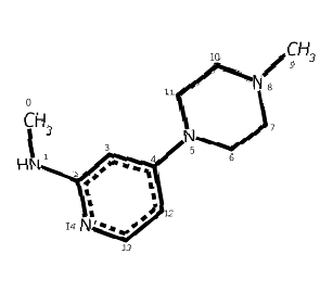 CNc1cc(N2CCN(C)CC2)ccn1